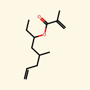 C=CCC(C)CC(CC)OC(=O)C(=C)C